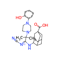 CC(C)(/C(=N\C#N)NC1C2CC3CC1CC(C(=O)O)(C3)C2)N1CCN(c2ccccc2O)CC1